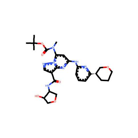 CN(C(=O)OC(C)(C)C)c1cc(Nc2cccc([C@H]3CCCOC3)n2)nc2c(C(=O)NC3COCC3O)cnn12